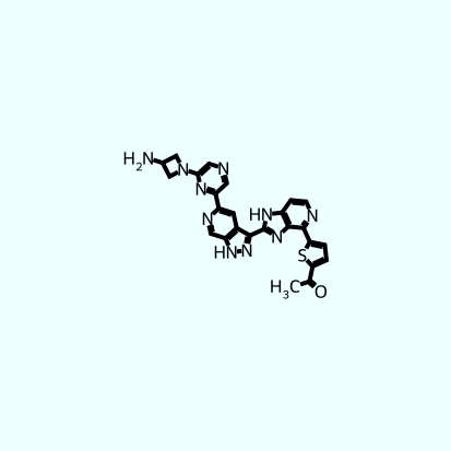 CC(=O)c1ccc(-c2nccc3[nH]c(-c4n[nH]c5cnc(-c6cncc(N7CC(N)C7)n6)cc45)nc23)s1